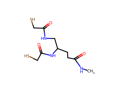 CNC(=O)CCC(CNC(=O)CS)NC(=O)CS